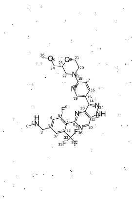 CNCc1cc(F)c(-c2ncc3[nH]nc(-c4ccc(N5CCOC(COC)C5)nc4)c3n2)c(C(F)(F)F)c1